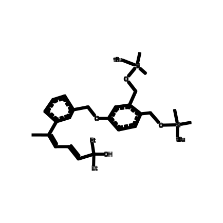 CCC(O)(/C=C/C=C(/C)c1cccc(COc2ccc(CO[Si](C)(C)C(C)(C)C)c(CO[Si](C)(C)C(C)(C)C)c2)c1)CC